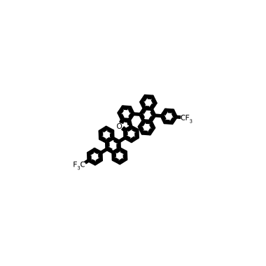 FC(F)(F)c1ccc(-c2c3ccccc3c(-c3cccc4c3oc3cccc(-c5c6ccccc6c(-c6ccc(C(F)(F)F)cc6)c6ccccc56)c34)c3ccccc23)cc1